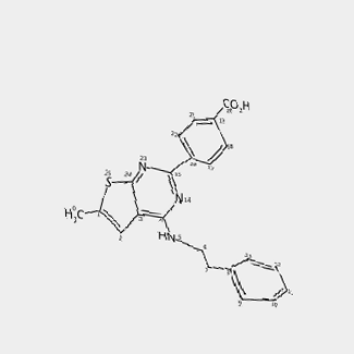 Cc1cc2c(NCCc3ccccc3)nc(-c3ccc(C(=O)O)cc3)nc2s1